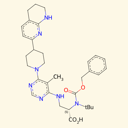 Cc1c(NC[C@@H](C(=O)O)N(C(=O)OCc2ccccc2)C(C)(C)C)ncnc1N1CCC(c2ccc3c(n2)NCCC3)CC1